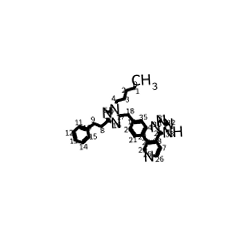 CCCCCn1nc(CCc2ccccc2)nc1Cc1ccc(-c2cnccc2-c2nnn[nH]2)cc1